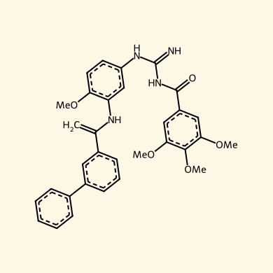 C=C(Nc1cc(NC(=N)NC(=O)c2cc(OC)c(OC)c(OC)c2)ccc1OC)c1cccc(-c2ccccc2)c1